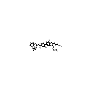 NCCCN(CCCN)Cc1c(F)cc(-c2c[nH]c(NCC(=O)Nc3ccccc3OC(F)(F)F)nc2=O)cc1F